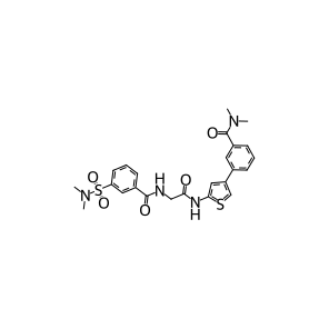 CN(C)C(=O)c1cccc(-c2csc(NC(=O)CNC(=O)c3cccc(S(=O)(=O)N(C)C)c3)c2)c1